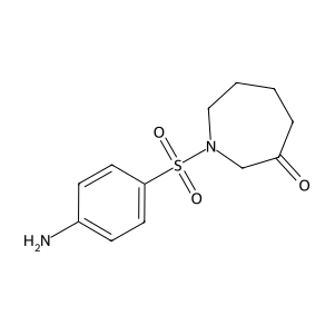 Nc1ccc(S(=O)(=O)N2CCCCC(=O)C2)cc1